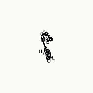 C[C@]12CCC(=O)C[C@@H]1CC[C@@H]1[C@@H]2CC[C@]2(C)[C@@H](OCCCCCCN3CCN(C(=O)c4cc(Cc5n[nH]c(=O)c6ccccc56)ccc4F)CC3)CC[C@@H]12